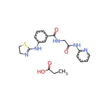 CCC(=O)O.O=C(CNC(=O)c1cccc(NC2=NCCS2)c1)Nc1ccccn1